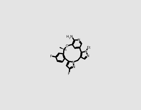 CCn1ncc2c1-c1cnc(N)c(c1)O[C@H](C)c1cc(F)ccc1-c1cc(F)nn1C2